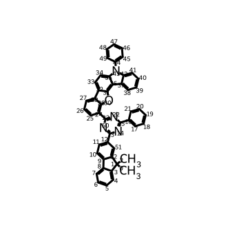 CC1(C)c2ccccc2-c2ccc(-c3nc(-c4ccccc4)nc(-c4cccc5c4oc4c5ccc5c4c4ccccc4n5-c4ccccc4)n3)cc21